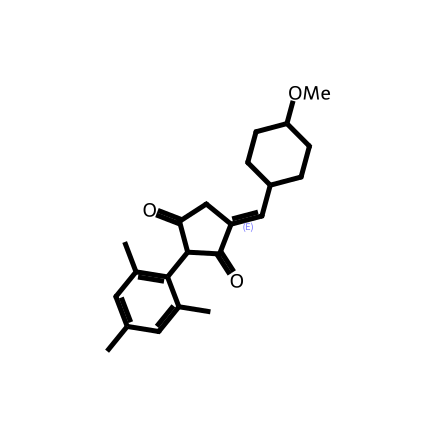 COC1CCC(/C=C2\CC(=O)C(c3c(C)cc(C)cc3C)C2=O)CC1